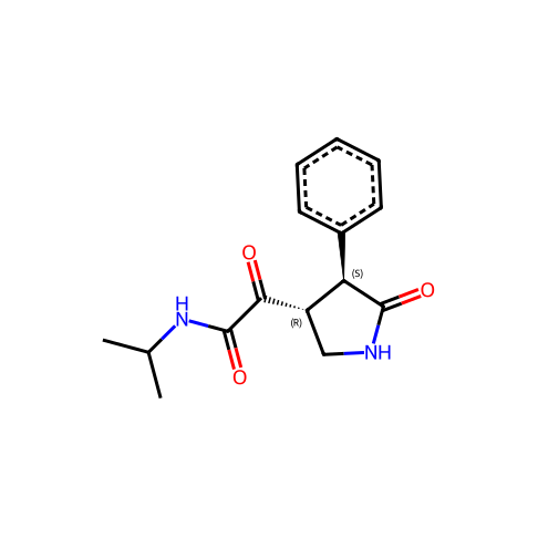 CC(C)NC(=O)C(=O)[C@H]1CNC(=O)[C@@H]1c1ccccc1